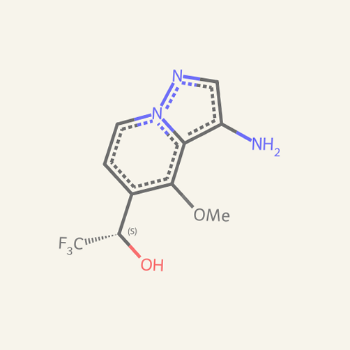 COc1c([C@H](O)C(F)(F)F)ccn2ncc(N)c12